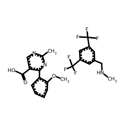 CNCc1cc(C(F)(F)F)cc(C(F)(F)F)c1.COc1ccccc1-c1nc(C)ncc1C(=O)O